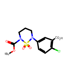 CC(C)(C)OC(=O)N1CCCN(c2ccc(Cl)c(C(=O)O)c2)S1(=O)=O